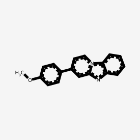 COc1ccc(-c2ccn3c(c2)nc2ccccc23)cc1